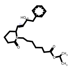 CC(C)OC(=O)CCCCCCN1C(=O)CCCC1/C=C/[C@H](O)Cc1ccccc1